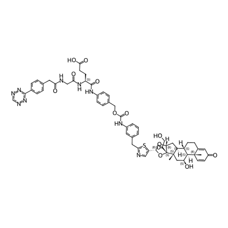 C[C@]12C=CC(=O)C=C1CC[C@@H]1[C@@H]2[C@@H](O)C[C@@]2(C)[C@H]1C[C@H]1O[C@@H](c3cnc(Cc4cccc(NC(=O)OCc5ccc(NC(=O)[C@H](CCC(=O)O)NC(=O)CNC(=O)Cc6ccc(-c7nncnn7)cc6)cc5)c4)s3)O[C@]12C(=O)CO